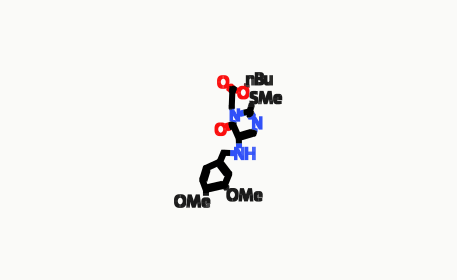 CCCCOC(=O)Cn1c(SC)ncc(NCc2ccc(OC)c(OC)c2)c1=O